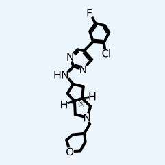 Fc1ccc(Cl)c(-c2cnc(NC3C[C@@H]4CN(CC5CCOCC5)C[C@@H]4C3)nc2)c1